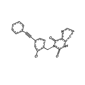 O=c1[nH]c2cccnc2c(=O)n1Cc1ccc(C#Cc2ccccc2)cc1Cl